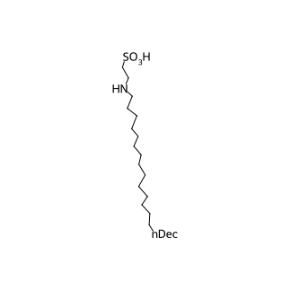 CCCCCCCCCCCCCCCCCCCCCCCCNCCS(=O)(=O)O